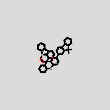 CC1(C)c2ccccc2-c2ccc(-c3ccc4c(c3)C3(c5ccccc5O4)c4ccccc4-n4c5ccccc5c5cccc3c54)cc21